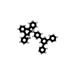 c1ccc(-c2cc(-c3ccccc3)cc(-c3ccc(-n4c5ccccc5c5c6ccccc6c6c7ccccc7sc6c54)cc3)c2)cc1